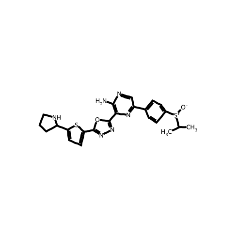 CC(C)[S+]([O-])c1ccc(-c2cnc(N)c(-c3nnc(-c4ccc(C5CCCN5)s4)o3)n2)cc1